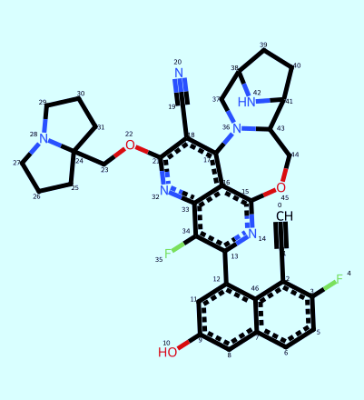 C#Cc1c(F)ccc2cc(O)cc(-c3nc4c5c(c(C#N)c(OCC67CCCN6CCC7)nc5c3F)N3CC5CCC(N5)C3CO4)c12